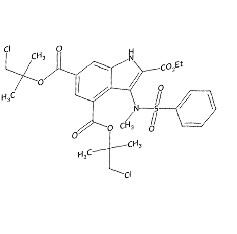 CCOC(=O)c1[nH]c2cc(C(=O)OC(C)(C)CCl)cc(C(=O)OC(C)(C)CCl)c2c1N(C)S(=O)(=O)c1ccccc1